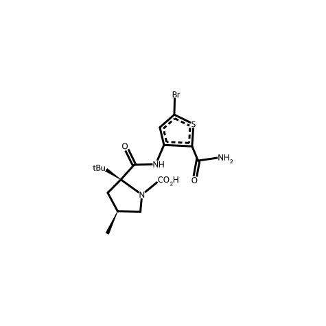 C[C@@H]1CN(C(=O)O)[C@](C(=O)Nc2cc(Br)sc2C(N)=O)(C(C)(C)C)C1